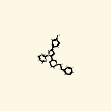 Fc1ccc(-c2cc(C3CCCN(CCc4ccccc4)C3)n(-c3ncccn3)n2)cc1